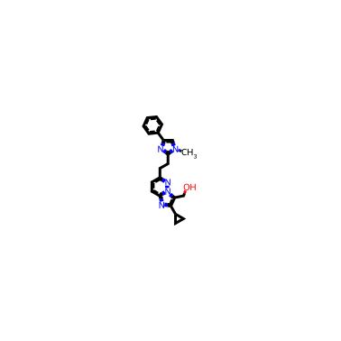 Cn1cc(-c2ccccc2)nc1CCc1ccc2nc(C3CC3)c(CO)n2n1